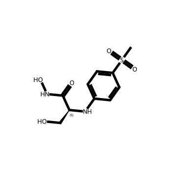 CS(=O)(=O)c1ccc(N[C@@H](CO)C(=O)NO)cc1